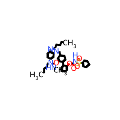 CCCCCN(C(=O)NC)c1ccc2nc(CCCC)n(Cc3ccc(-c4ccccc4OC(=O)NS(=O)(=O)c4ccccc4)cc3)c2c1